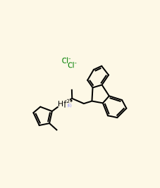 CC1=[C](/[Hf+2]=[C](\C)CC2c3ccccc3-c3ccccc32)CC=C1.[Cl-].[Cl-]